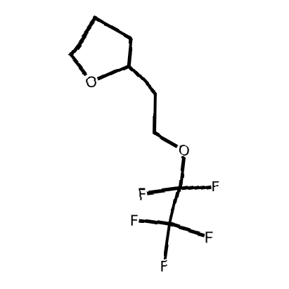 FC(F)(F)C(F)(F)OCCC1CCCO1